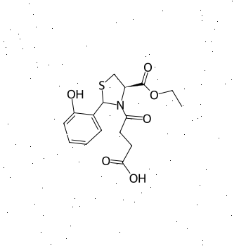 CCOC(=O)[C@@H]1CSC(c2ccccc2O)N1C(=O)CCC(=O)O